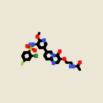 COc1ncc(-c2ccc3ncc(OCCNC(C)=O)c(=O)n3c2)cc1NS(=O)(=O)c1ccc(F)cc1Cl